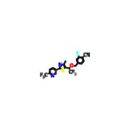 Cc1nc(-c2ccc(C(F)(F)F)nc2)sc1C(OCc1ccc(C#N)c(F)c1)C(F)(F)F